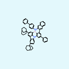 c1ccc(-c2ccc(N3B4c5c(cc(-c6ccccc6)cc5-n5c6ccc(C78CCCC(CCC7)C8)cc6c6cc(C78CCCC(CCC7)C8)cc4c65)-c4cc5ccccc5cc43)cc2)cc1